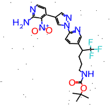 CC(C)(C)OC(=O)NCCCC(c1ccc(-n2cc(-c3ccnc(N)c3[N+](=O)[O-])cn2)nc1)C(F)(F)F